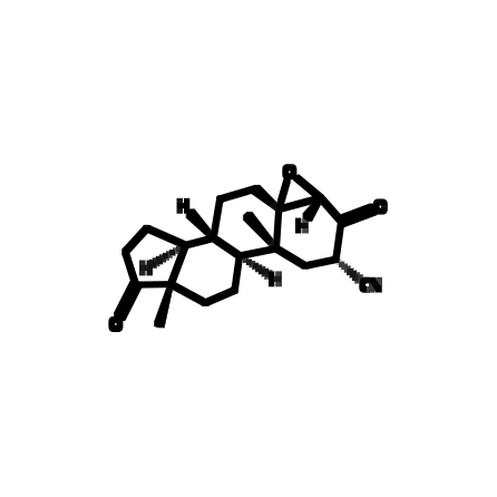 C[C@]12CC[C@H]3[C@@H](CC[C@@]45O[C@@H]4C(=O)[C@H](C#N)C[C@]35C)[C@@H]1CCC2=O